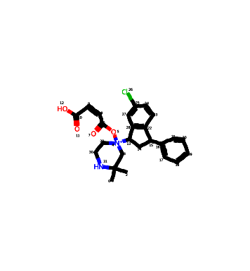 CC1(C)C[N+](OC(=O)/C=C\C(=O)O)(C2CC(c3ccccc3)c3ccc(Cl)cc32)CCN1